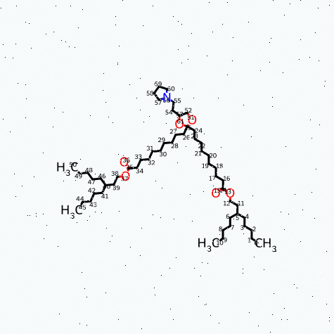 CCCCCC(CCCCC)CCOC(=O)CCCCCCCCCC1(CCCCCCCCCC(=O)OCCC(CCCCC)CCCCC)OCC(CCN2CCCC2)O1